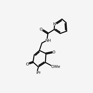 COC1=C(C(C)C)C(=O)C=C(CNC(=O)c2ccccn2)C1=O